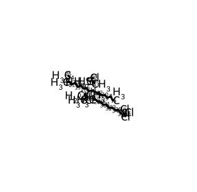 C=C[Si](C)(C)Cl.CCCCCCCCCCCCCCCCN(C)CC.CCCCCCCCCCC[Si](Cl)(Cl)Cl.C[SiH](C)Cl